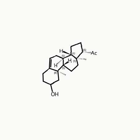 CC(=O)[C@H]1CC[C@H]2[C@@H]3CC=C4CCC(O)C[C@]4(C)[C@H]3CC[C@]12C